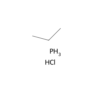 CCC.Cl.P